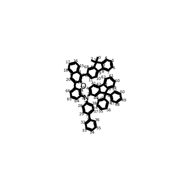 CC1(C)c2ccccc2-c2ccc(-c3c4ccccc4cc4c3oc3c(N(c5ccc(-c6ccccc6)cc5)c5ccc6c(c5)C(c5ccccc5)(c5ccccc5)c5ccccc5-6)cccc34)cc21